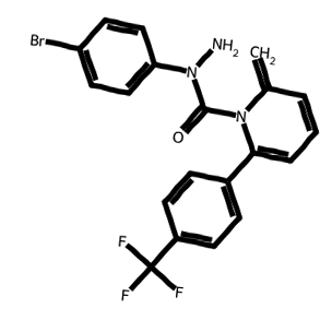 C=C1C=CC=C(c2ccc(C(F)(F)F)cc2)N1C(=O)N(N)c1ccc(Br)cc1